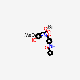 COc1cc(CC(NC(=O)c2ccc(NC(=O)C3CCCC3)cc2)C(=O)OC(C)(C)C)ccc1O